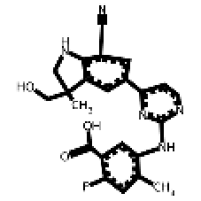 Cc1cc(F)c(C(=O)O)cc1Nc1nccc(-c2cc(C#N)c3c(c2)C(C)(CO)CN3)n1